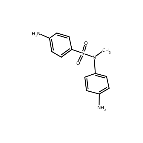 CN(c1ccc(N)cc1)S(=O)(=O)c1ccc(N)cc1